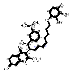 CCCc1c(OCCCC/C=C\C=C\[C@@H](c2c(C(=O)O)oc3c(c2=O)=CCC(=S)C=3)[C@@H](O)c2cccc(N(C)C)c2)ccc(C(C)=O)c1O